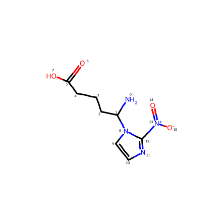 NC(CCCC(=O)O)n1ccnc1[N+](=O)[O-]